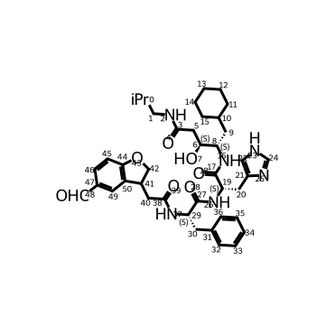 CC(C)CNC(=O)C[C@H](O)[C@H](CC1CCCCC1)NC(=O)[C@H](Cc1c[nH]cn1)NC(=O)[C@H](Cc1ccccc1)NC(=O)CC1COc2ccc(C=O)cc21